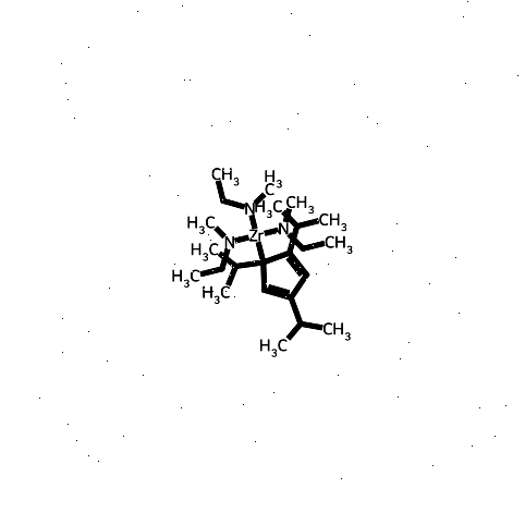 CC[N](C)[Zr]([N](C)CC)([N](C)CC)[C]1(C(C)C)C=C(C(C)C)C=C1C(C)C